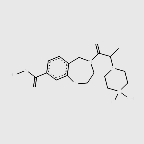 CC(C(=O)N1CCOc2cc(C(=O)NO)ccc2C1)N1CCS(O)(O)CC1